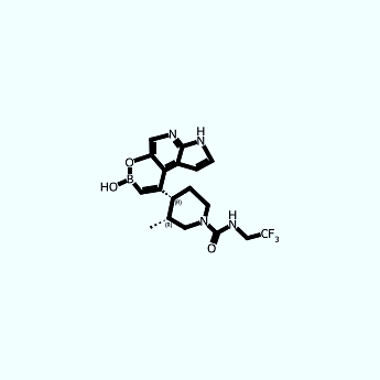 C[C@H]1CN(C(=O)NCC(F)(F)F)CC[C@H]1C1=CB(O)Oc2cnc3[nH]ccc3c21